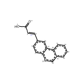 O=C(O)/C=C/c1ccc2ncc3ccccc3c2c1